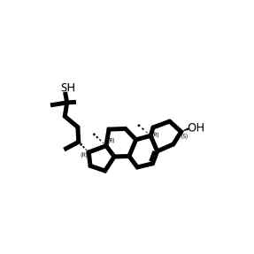 CC(CCC(C)(C)S)[C@H]1CCC2C3CC=C4C[C@@H](O)CC[C@]4(C)C3CC[C@@]21C